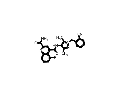 Cc1c(NC(=O)c2cc(C(N)=O)nc3cccc(F)c23)c(C(F)(F)F)nn1Cc1ccccc1C#N